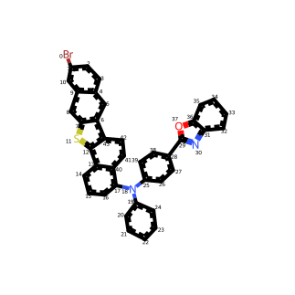 Brc1ccc2cc3c(cc2c1)sc1c2cccc(N(c4ccccc4)c4ccc(-c5nc6ccccc6o5)cc4)c2ccc31